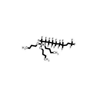 CCCCO[Si](OCCCC)(OCCCC)C(F)(F)C(F)(F)C(F)(F)C(F)(F)C(F)(F)C(F)(F)C(F)(F)CCC(F)(F)F